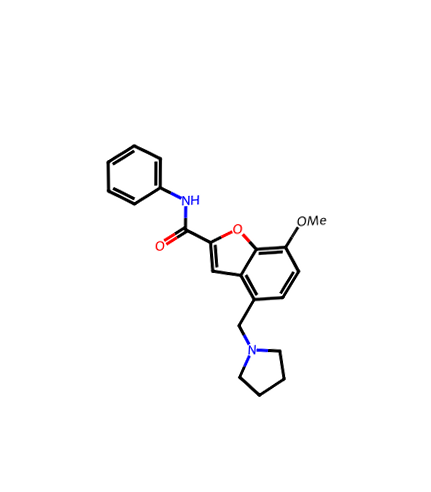 COc1ccc(CN2CCCC2)c2cc(C(=O)Nc3ccccc3)oc12